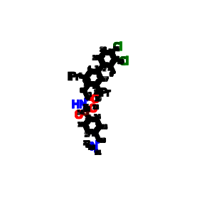 Cc1c(-c2cc(C(C)C)c(CC(=O)NS(=O)(=O)c3ccc(CN(C)C)cc3)c(C(C)C)c2)ccc(Cl)c1Cl